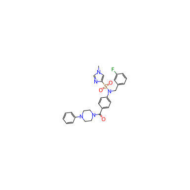 Cn1cnc(S(=O)(=O)N(Cc2cccc(F)c2)c2ccc(C(=O)N3CCN(c4ccccc4)CC3)cc2)c1